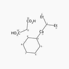 CC[CH](CC)[Ca][CH]1CCCCC1.O=C(O)CC(=O)O